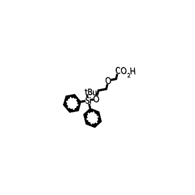 CC(C)(C)[Si](OCCOCC(=O)O)(c1ccccc1)c1ccccc1